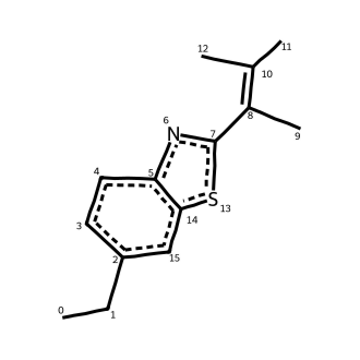 CCc1ccc2nc(C(C)=C(C)C)sc2c1